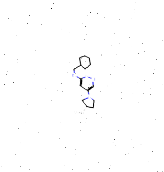 CN[C@@H]1CCN(C2=CNNC(N[C@H](C)C3CCCCC3)=C2)C1